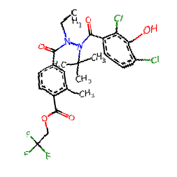 CCN(C(=O)c1ccc(C(=O)OCC(F)(F)F)c(C)c1)N(C(=O)c1ccc(Cl)c(O)c1Cl)C(C)(C)C